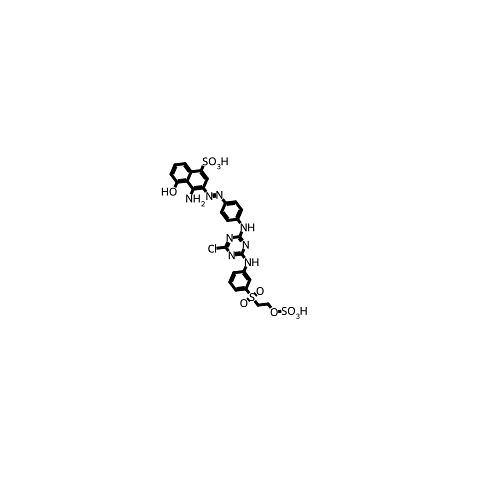 Nc1c(N=Nc2ccc(Nc3nc(Cl)nc(Nc4cccc(S(=O)(=O)CCOS(=O)(=O)O)c4)n3)cc2)cc(S(=O)(=O)O)c2cccc(O)c12